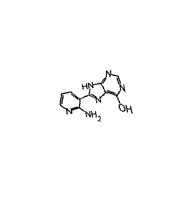 Nc1ncccc1-c1nc2c(O)ncnc2[nH]1